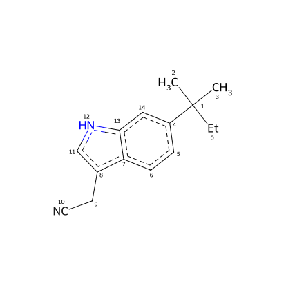 CCC(C)(C)c1ccc2c(CC#N)c[nH]c2c1